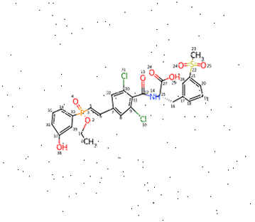 CCOP(=O)(/C=C/c1cc(Cl)c(C(=O)N[C@@H](Cc2cccc(S(C)(=O)=O)c2)C(=O)O)c(Cl)c1)c1cccc(O)c1